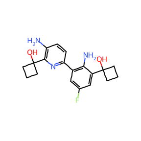 Nc1ccc(-c2cc(F)cc(C3(O)CCC3)c2N)nc1C1(O)CCC1